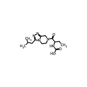 CCC(NC(=O)O)C(=O)N1CCn2c(CC(C)C)nnc2C1